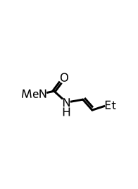 CC/C=C/NC(=O)NC